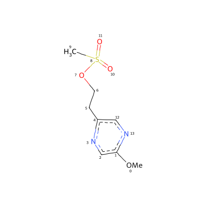 COc1cnc(CCOS(C)(=O)=O)cn1